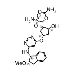 CO[C@H]1Cc2ccccc2[C@H]1Nc1cc(O[C@@H]2C[C@H](C(OC(N)=O)S(N)(=O)=O)[C@@H](O)C2)ncn1